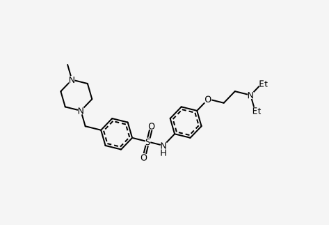 CCN(CC)CCOc1ccc(NS(=O)(=O)c2ccc(CN3CCN(C)CC3)cc2)cc1